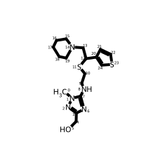 Cn1nc(CO)nc1NCCSC(CN1CCCCC1)c1ccsc1